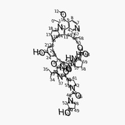 CCn1c(-c2cnccc2COC)c2c3cc(ccc31)-c1cc(O)cc(c1)C[C@H](NC(=O)[C@H](C(C)C)N(C)C(=O)[C@H]1CCN(C(=O)CN3CC[C@H](O)C3)C1)C(=O)N1CCC[C@H](N1)C(=O)OCC(C)(C)C2